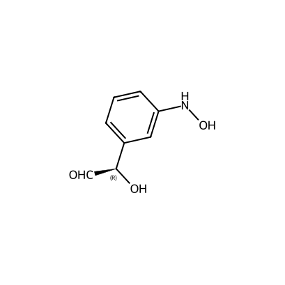 O=C[C@H](O)c1cccc(NO)c1